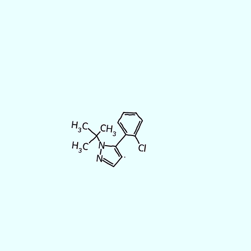 CC(C)(C)n1nc[c]c1-c1ccccc1Cl